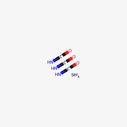 N=C=O.N=C=O.N=C=O.[SiH4]